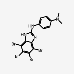 CN(C)c1ccc(Nc2nc3c(Br)c(Br)c(Br)c(Br)c3[nH]2)cc1